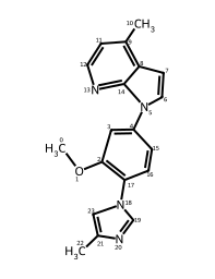 COc1cc(-n2ccc3c(C)ccnc32)ccc1-n1cnc(C)c1